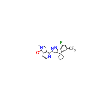 CN1CCc2c(ccnc2-c2cc(C3(c4cc(F)cc(C(F)(F)F)c4)CCCC3)cnn2)C1=O